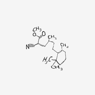 COC(=O)C(C#N)=CC(C)CCC1=C(C)CCCC1(C)C